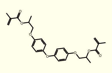 C=C(C)C(=O)OC(C)COc1ccc(Oc2ccc(OCC(C)OC(=O)C(=C)C)cc2)cc1